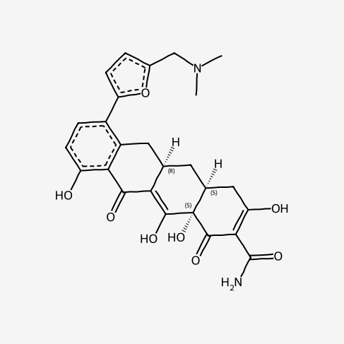 CN(C)Cc1ccc(-c2ccc(O)c3c2C[C@H]2C[C@H]4CC(O)=C(C(N)=O)C(=O)[C@@]4(O)C(O)=C2C3=O)o1